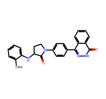 COc1ccccc1NC1CCN(c2ccc(-c3n[nH]c(=O)c4ccccc34)cc2)C1=O